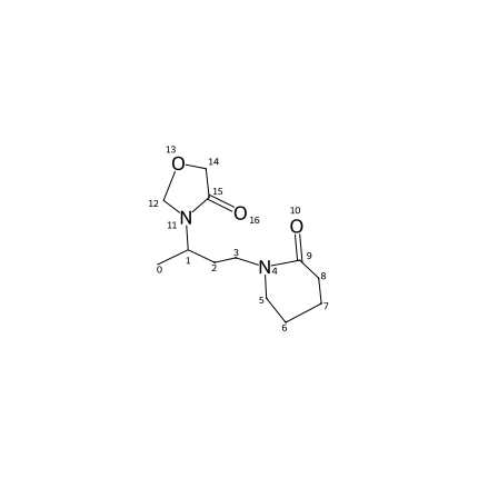 CC(CCN1CCCCC1=O)N1COCC1=O